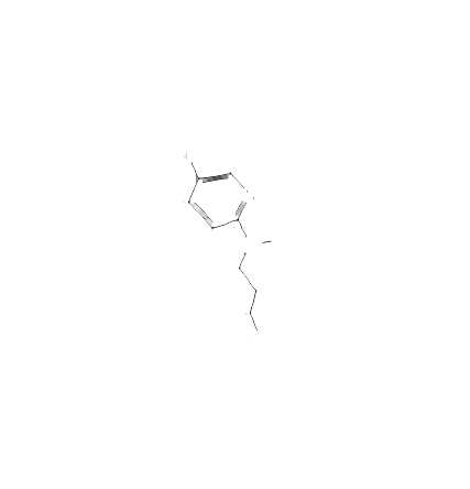 [O-][S+](CCCCl)c1ccc(Br)cn1